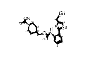 O=C(Nc1ccccc1-c1nc(CO)cs1)OCC1CCN(C(=O)O)CC1